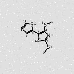 CSc1nc(SC)c(-c2cncs2)s1